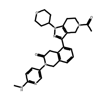 CNc1ccc(N2Cc3cccc(-c4nn(C5CCOCC5)c5c4CN(C(C)=O)CC5)c3CC2=O)cn1